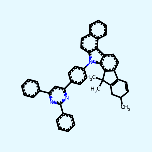 CC1C=CC2=C(C1)C(C)(C)c1c2ccc2c3c4ccccc4ccc3n(-c3ccc(-c4cc(-c5ccccc5)nc(-c5ccccc5)n4)cc3)c12